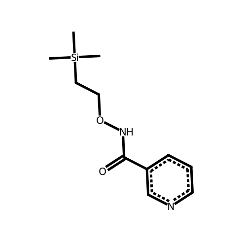 C[Si](C)(C)CCONC(=O)c1cccnc1